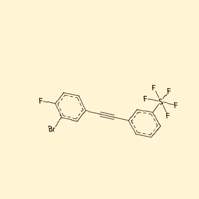 Fc1ccc(C#Cc2cccc(S(F)(F)(F)(F)F)c2)cc1Br